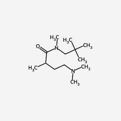 CC(CCN(C)C)C(=O)N(C)CC(C)(C)C